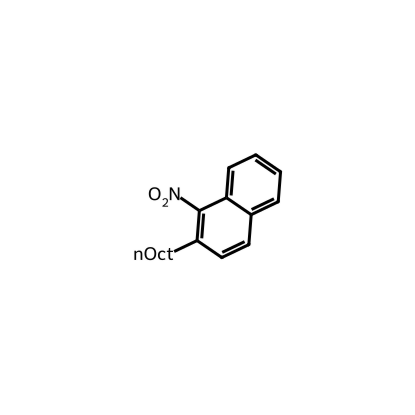 CCCCCCCCc1ccc2ccccc2c1[N+](=O)[O-]